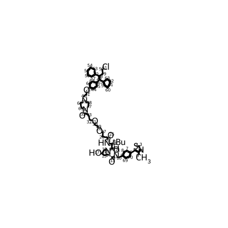 Cc1ncsc1-c1ccc(CNC(=O)[C@@H]2C[C@@H](O)CN2C(=O)C(NC(=O)CCOCCOCCC(=O)N2CCN(CCOc3ccc(/C(=C(/CCCl)c4ccccc4)c4ccccc4)cc3)CC2)C(C)(C)C)cc1